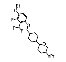 CCCC1CCC(C2CCC(COc3ccc(OCC)c(F)c3C(F)F)CC2)OC1